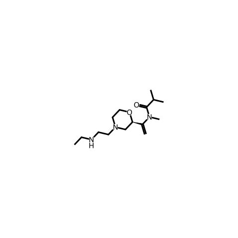 C=C([C@H]1CN(CCNCC)CCO1)N(C)C(=O)C(C)C